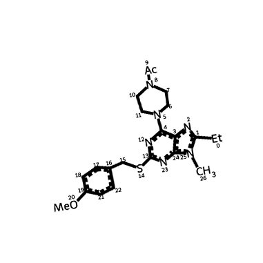 CCc1nc2c(N3CCN(C(C)=O)CC3)nc(SCc3ccc(OC)cc3)nc2n1C